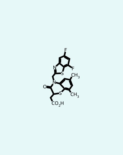 Cc1cc(C)c2c(c1)N(Cc1nc3cc(F)cc(F)c3s1)C(=O)C(CC(=O)O)S2